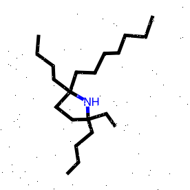 CCCCCCCC1(CCCC)CCC(CC)(CCCC)N1